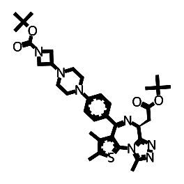 Cc1sc2c(c1C)C(c1ccc(N3CCN(C4CN(C(=O)OC(C)(C)C)C4)CC3)cc1)=N[C@@H](CC(=O)OC(C)(C)C)c1nnc(C)n1-2